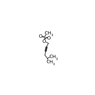 CC(C)CC#CCOS(C)(=O)=O